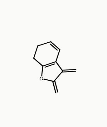 C=c1oc2c(c1=C)C=CCC2